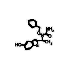 CC(c1cc2cc(O)ccc2s1)N(OCc1ccccc1)C(N)=O